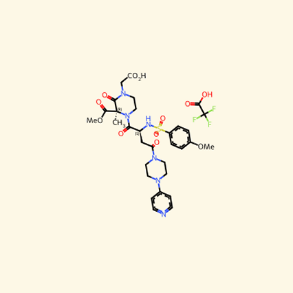 COC(=O)[C@@]1(C)C(=O)N(CC(=O)O)CCN1C(=O)[C@H](CC(=O)N1CCN(c2ccncc2)CC1)NS(=O)(=O)c1ccc(OC)cc1.O=C(O)C(F)(F)F